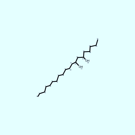 CCCCCCCCCCCCC(O)CC(O)CCCCC